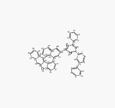 c1ccc(-c2cccc(-c3nc(-c4ccccc4)nc(-c4cc(-c5cccc6oc7cc8ccccc8cc7c56)c5ccccc5c4)n3)c2)cc1